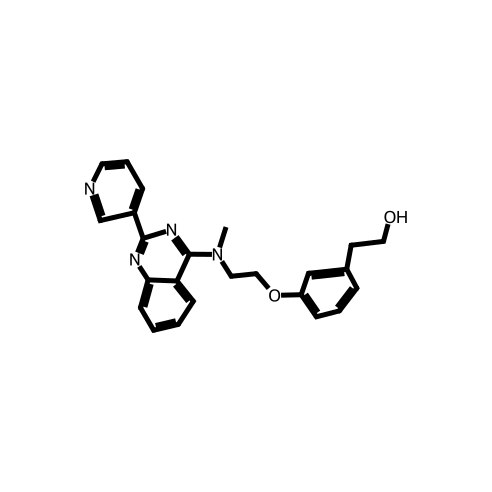 CN(CCOc1cccc(CCO)c1)c1nc(-c2cccnc2)nc2ccccc12